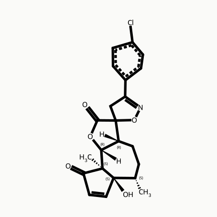 C[C@H]1CC[C@@H]2[C@@H](OC(=O)C23CC(c2ccc(Cl)cc2)=NO3)[C@]2(C)C(=O)C=C[C@@]12O